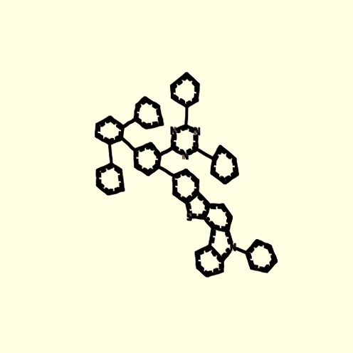 c1ccc(-c2nc(-c3ccccc3)nc(-c3cc(-c4c(-c5ccccc5)cccc4-c4ccccc4)ccc3-c3ccc4c(c3)sc3c4ccc4c3c3ccccc3n4-c3ccccc3)n2)cc1